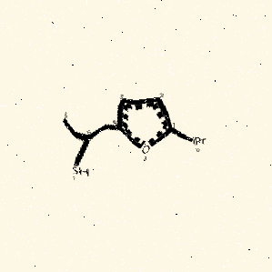 CC(C)c1ccc(C(C)S)o1